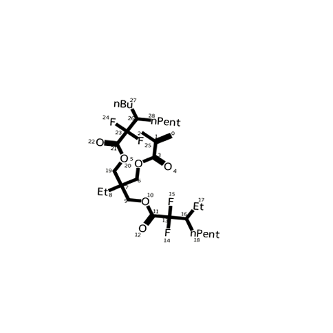 C=C(C)C(=O)OCC(CC)(COC(=O)C(F)(F)C(CC)CCCCC)COC(=O)C(F)(F)C(CCCC)CCCCC